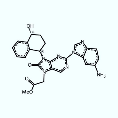 COC(=O)Cn1c(=O)n([C@@H]2CC[C@@H](O)c3ccccc32)c2nc(-n3cnc4ccc(N)cc43)ncc21